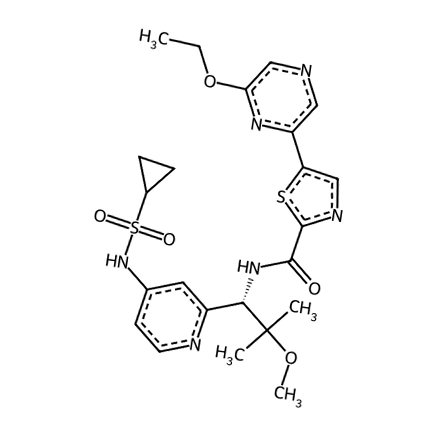 CCOc1cncc(-c2cnc(C(=O)N[C@@H](c3cc(NS(=O)(=O)C4CC4)ccn3)C(C)(C)OC)s2)n1